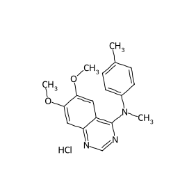 COc1cc2ncnc(N(C)c3ccc(C)cc3)c2cc1OC.Cl